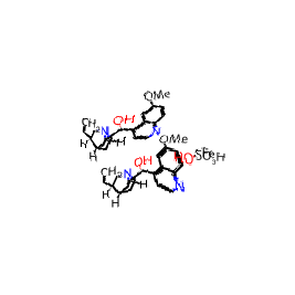 C=C[C@H]1C[N@]2CC[C@H]1C[C@H]2[C@H](O)c1ccnc2ccc(OC)cc12.C=C[C@H]1C[N@]2CC[C@H]1C[C@H]2[C@H](O)c1ccnc2ccc(OC)cc12.O=S(=O)(O)O.[Fe]